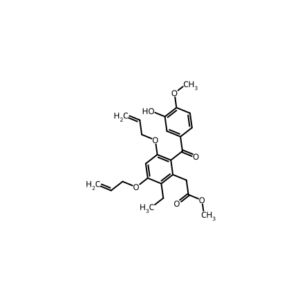 C=CCOc1cc(OCC=C)c(C(=O)c2ccc(OC)c(O)c2)c(CC(=O)OC)c1CC